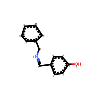 Oc1ccc(/C=N\Cc2ccccc2)cc1